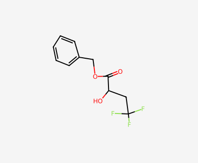 O=C(OCc1ccccc1)C(O)CC(F)(F)F